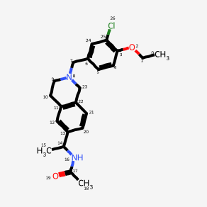 CCOc1ccc(CN2CCc3cc(C(C)NC(C)=O)ccc3C2)cc1Cl